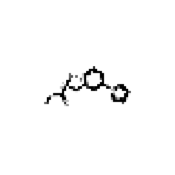 COC(=O)[C@@](C)(N)Cc1cccc(-n2cccc2)c1